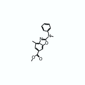 COC(=O)c1cc(C)c2nc(N(C)c3ccccc3)oc2c1